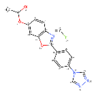 CC(O)Oc1ccc2nc(-c3ccc(-n4cnnc4)cc3)oc2c1.CF